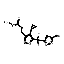 CC(C)(C)OC(=O)CCc1noc(C(F)(F)c2cc(C(C)(C)C)on2)c1C1CC1